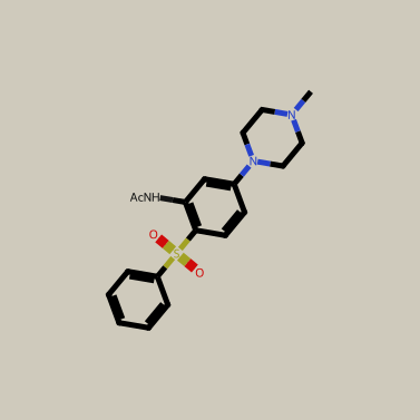 CC(=O)Nc1cc(N2CCN(C)CC2)ccc1S(=O)(=O)c1ccccc1